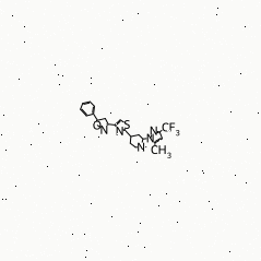 Cc1cc(C(F)(F)F)nn1C1CC(c2nc(C3=NOC(c4ccccc4)C3)cs2)CC[N]1